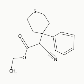 CCOC(=O)C(C#N)C1(c2ccccc2)CCSCC1